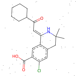 CC1(C)Cc2cc(Cl)c(C(=O)O)cc2/C(=C/C(=O)C2CCCCC2)N1